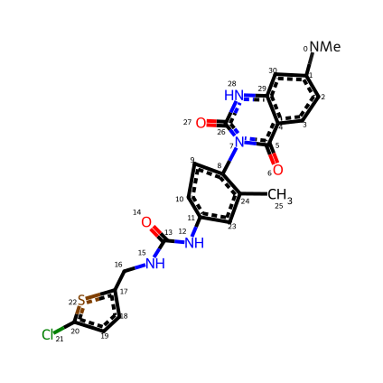 CNc1ccc2c(=O)n(-c3ccc(NC(=O)NCc4ccc(Cl)s4)cc3C)c(=O)[nH]c2c1